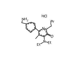 CCN(CC)c1c(C)c(-c2ccc(CN)cc2)nn(CC(C)C)c1=O.Cl